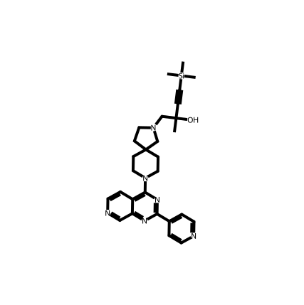 CC(O)(C#C[Si](C)(C)C)CN1CCC2(CCN(c3nc(-c4ccncc4)nc4cnccc34)CC2)C1